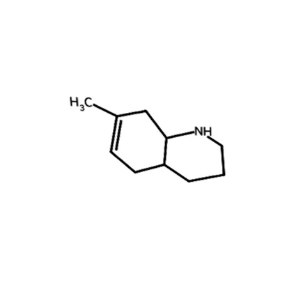 CC1=CCC2CCCNC2C1